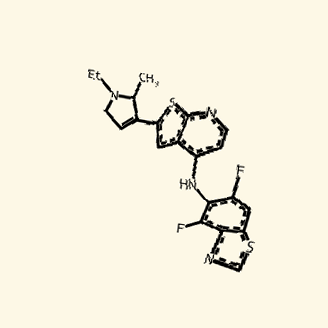 CCN1CC=C(c2cc3c(Nc4c(F)cc5scnc5c4F)ccnc3s2)C1C